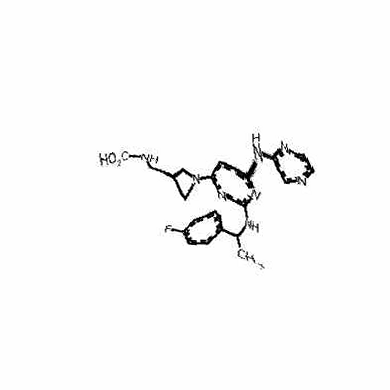 CC(Nc1nc(Nc2cnccn2)cc(N2CC(CNC(=O)O)C2)n1)c1ccc(F)cc1